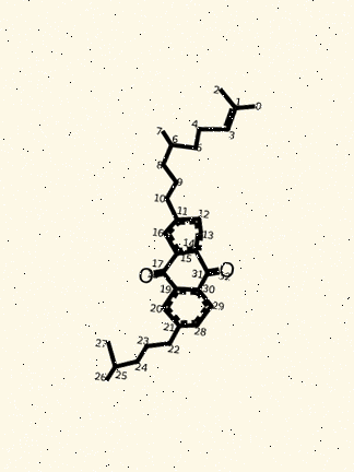 CC(C)=CCCC(C)CCCc1ccc2c(c1)C(=O)c1cc(CCCC(C)C)ccc1C2=O